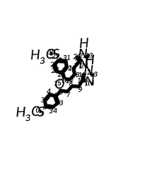 CSc1ccc(C(CCCc2c[nH]cn2)OC(CCCc2c[nH]cn2)c2ccc(SC)cc2)cc1